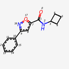 O=C(NC1C[CH]C1)c1cc(-c2ccccc2)no1